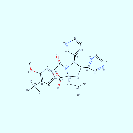 COc1cc(C(=O)N2[C@@H](c3cccnc3)[C@@H](c3cnccn3)C[C@@]2(CC(C)C)C(=O)O)ccc1C(C)(C)C